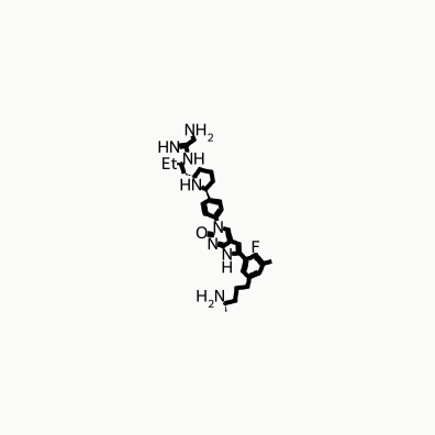 CC[C@H](C[C@@H]1CCC[C@@H](c2ccc(-n3cc4cc(-c5cc(CCC[C@H](C)N)cc(C)c5F)[nH]c4nc3=O)cc2)N1)NC(=N)CN